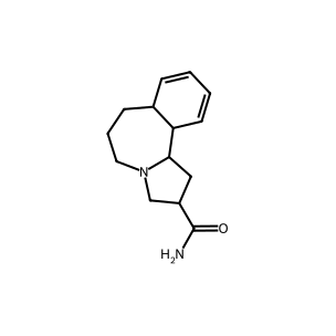 NC(=O)C1CC2C3C=CC=CC3CCCN2C1